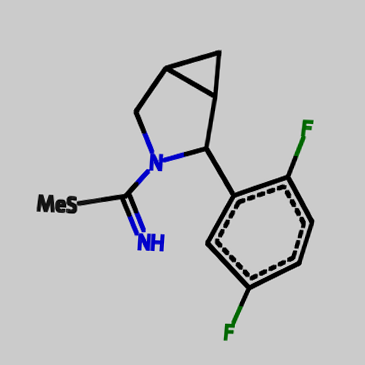 CSC(=N)N1CC2CC2C1c1cc(F)ccc1F